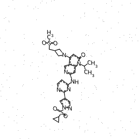 CC(C)n1c(=O)cc(N2CC(CS(C)(=O)=O)C2)c2cnc(Nc3ccnc(-c4cnn(S(=O)(=O)C5CC5)c4)n3)cc21